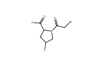 O=C(F)C1CC(F)CN1C(=O)CBr